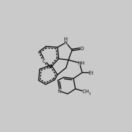 CCC(NC1(Cc2ccccc2)C(=O)Nc2ccccc21)C1=CC=NCC1C